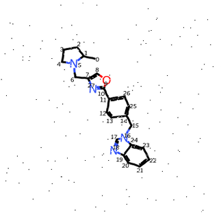 CC1CCCN1Cc1coc(-c2ccc(Cn3cnc4ccccc43)cc2)n1